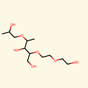 CC(O)COC(C)C(O)C(CO)OCCOCCO